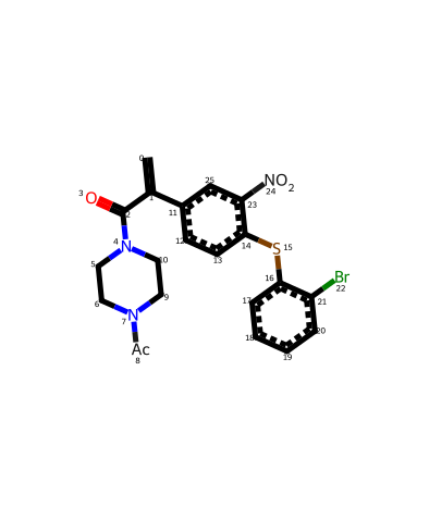 C=C(C(=O)N1CCN(C(C)=O)CC1)c1ccc(Sc2ccccc2Br)c([N+](=O)[O-])c1